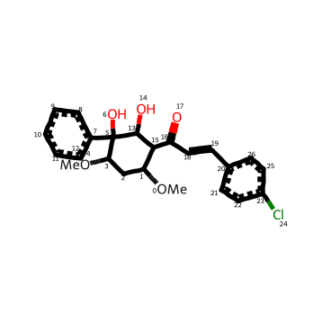 COC1CC(OC)C(O)(c2ccccc2)C(O)C1C(=O)C=Cc1ccc(Cl)cc1